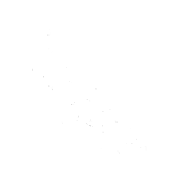 O=C(N1CCc2c([nH]c3ccc(Cl)cc23)C1)C(O)(CO)c1ccc(Cl)cc1